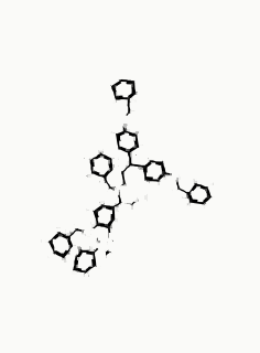 O=S(=O)(Nc1cc([C@H](CO)N(CCC(c2ccc(OCc3ccccc3)cc2)c2ccc(OCc3ccccc3)cc2)Cc2ccccc2)ccc1OCc1ccccc1)c1ccccc1